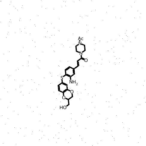 CC(=O)N1CCN(C(=O)/C=C/c2ccc(Sc3ccc4c(c3)OCC(CO)O4)c(N)c2)CC1